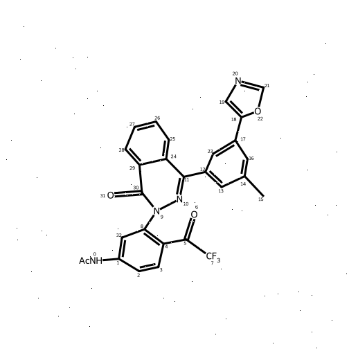 CC(=O)Nc1ccc(C(=O)C(F)(F)F)c(-n2nc(-c3cc(C)cc(-c4cnco4)c3)c3ccccc3c2=O)c1